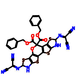 N#CC(C#N)=NC1Nc2sc3c(c2S1)OC(C(=O)OCc1ccccc1)(C(=O)OCc1ccccc1)c1c-3sc2c1SC(N=C(C#N)C#N)N2